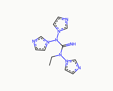 CCN(C(=N)N(n1ccnc1)n1ccnc1)n1ccnc1